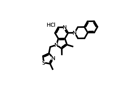 Cc1nc(Cn2c(C)c(C)c3c(N4CCc5ccccc5C4)nccc32)cs1.Cl